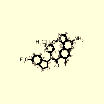 Cn1ccc(N(C(=O)c2cc3c(cc2F)nc(N)c2cnn(C)c23)C2CCc3nc(C(F)(F)F)ccc32)n1